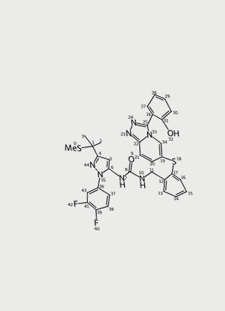 CSC(C)(C)c1cc(NC(=O)NCc2ccccc2Sc2ccc3nnc(-c4ccccc4O)n3c2)n(-c2ccc(F)c(F)c2)n1